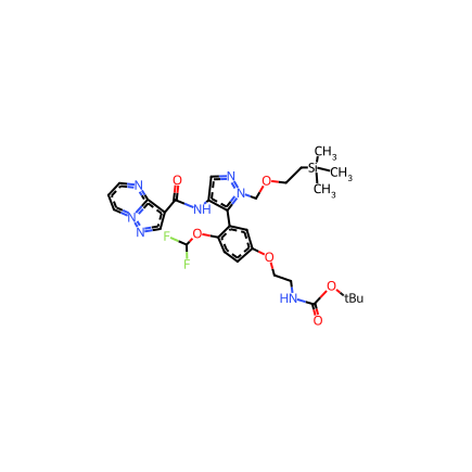 CC(C)(C)OC(=O)NCCOc1ccc(OC(F)F)c(-c2c(NC(=O)c3cnn4cccnc34)cnn2COCC[Si](C)(C)C)c1